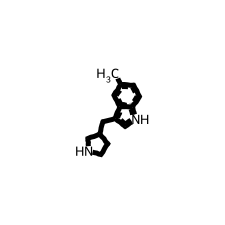 Cc1ccc2[nH]cc(CC3CCNC3)c2c1